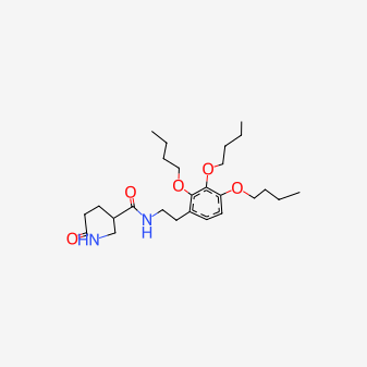 CCCCOc1ccc(CCNC(=O)C2CCC(=O)NC2)c(OCCCC)c1OCCCC